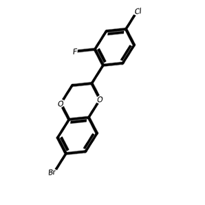 Fc1cc(Cl)ccc1C1COc2cc(Br)ccc2O1